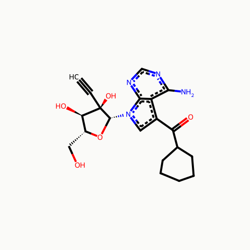 C#C[C@@]1(O)[C@H](O)[C@@H](CO)O[C@H]1n1cc(C(=O)C2CCCCC2)c2c(N)ncnc21